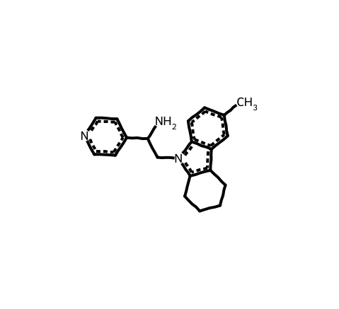 Cc1ccc2c(c1)c1c(n2CC(N)c2ccncc2)CCCC1